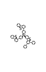 c1ccc(-c2cc(-c3ccccc3)c3sc4ccc(N(c5ccc(-c6cccc7c6sc6ccccc67)cc5)c5ccc(-c6cccc7c6sc6ccccc67)cc5)cc4c3c2)cc1